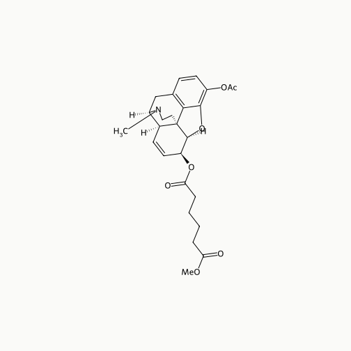 COC(=O)CCCCC(=O)O[C@H]1C=C[C@H]2[C@H]3Cc4ccc(OC(C)=O)c5c4[C@@]2(CCN3C)[C@H]1O5